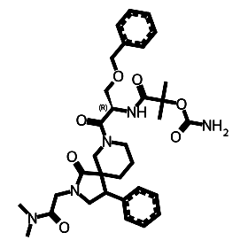 CN(C)C(=O)CN1CC(c2ccccc2)C2(CCCN(C(=O)[C@@H](COCc3ccccc3)NC(=O)C(C)(C)OC(N)=O)C2)C1=O